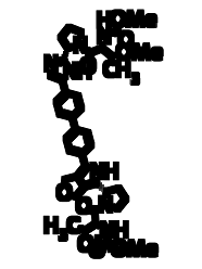 COC(=O)N[C@H](C(=O)N1CCC[C@H]1c1[nH]c(-c2ccc(-c3ccc(-c4cnc([C@@H]5CCCN5C(=O)[C@@H](NC(=O)OC)[C@@H](C)OC)[nH]4)cc3)cc2)c2c1COC2)C(C)OC